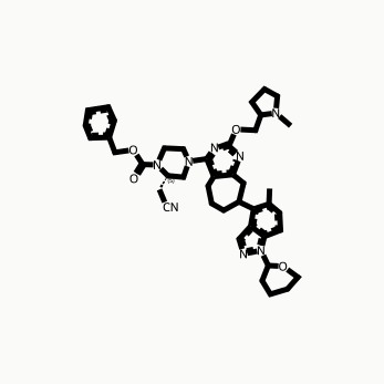 Cc1ccc2c(cnn2C2CCCCO2)c1C1CCCc2c(nc(OCC3CCCN3C)nc2N2CCN(C(=O)OCc3ccccc3)[C@@H](CC#N)C2)C1